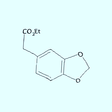 CCOC(=O)Cc1ccc2c(c1)OCO2